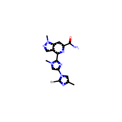 CCc1nc(C)cn1-c1cn(C)c(-c2nc(C(N)=O)cc3c2cnn3C)n1